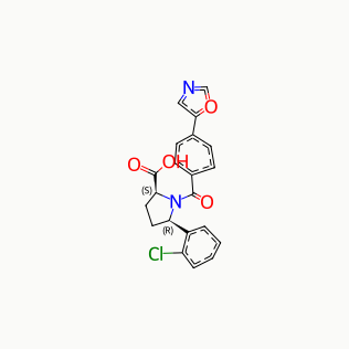 O=C(O)[C@@H]1CC[C@H](c2ccccc2Cl)N1C(=O)c1ccc(-c2cnco2)cc1